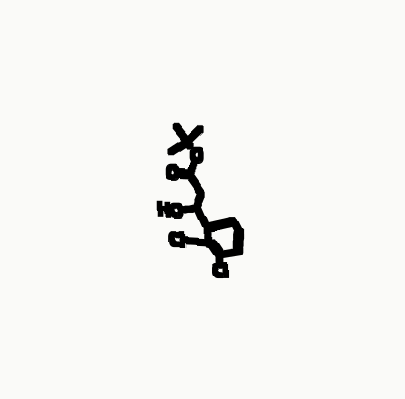 CC(C)(C)OC(=O)CC(O)c1cccc(Cl)c1Cl